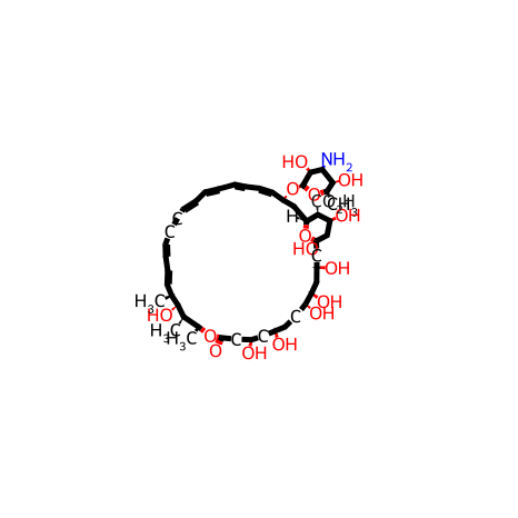 C[C@@H]1[C@H](O)[C@@H](C)/C=C/C=C/CC/C=C/C=C/C=C/C=C/[C@H](O[C@@H]2O[C@H](C)[C@@H](O)[C@H](N)[C@@H]2O)C[C@@H]2O[C@](O)(C[C@@H](O)C[C@@H](O)[C@H](O)CC[C@@H](O)C[C@@H](O)CC(=O)O[C@H]1C)C[C@H](O)[C@H]2C(=O)O